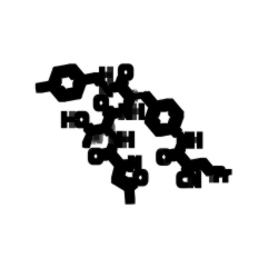 Cc1ccc(CNC(=O)[C@H](Cc2ccc(NC(=O)C(C#N)=CC(C)C)cc2)NC(=O)[C@@H](NC(=O)c2cc(C)on2)[C@@H](C)O)cc1